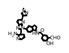 Cn1cc(-c2ccc3nc(-c4cccnc4N)n(-c4ccc5c(c4)CC[C@@H]5NC(=O)c4ccc(O)c(C=O)c4)c3n2)cn1